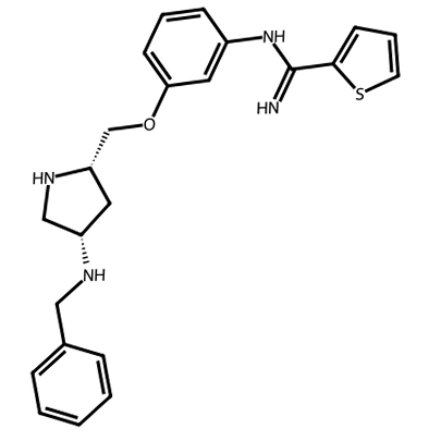 N=C(Nc1cccc(OC[C@@H]2C[C@H](NCc3ccccc3)CN2)c1)c1cccs1